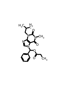 CCC(=O)OC(c1ccccc1)n1cnc2c1c(=O)n(C)c(=O)n2CC(C)C